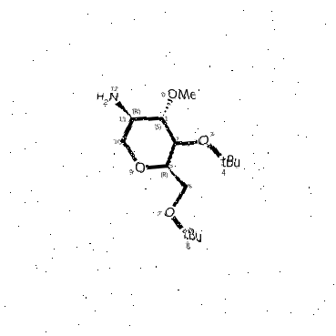 CO[C@@H]1C(OC(C)(C)C)[C@@H](COC(C)(C)C)OC[C@H]1N